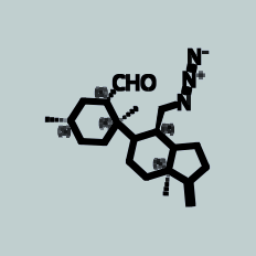 C=C1CCC2[C@H](CN=[N+]=[N-])C([C@@]3(C)CC[C@H](C)C[C@@H]3C=O)CC[C@]12C